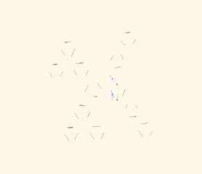 C=C(/N=C(\N=C(/C)c1ccc(-c2ccccc2)cc1)c1cc(-c2ccc3c4ccccc4c4ccccc4c3c2)cc(-c2ccc3c4ccccc4c4ccccc4c3c2)c1)c1ccc(-c2ccccc2)cc1